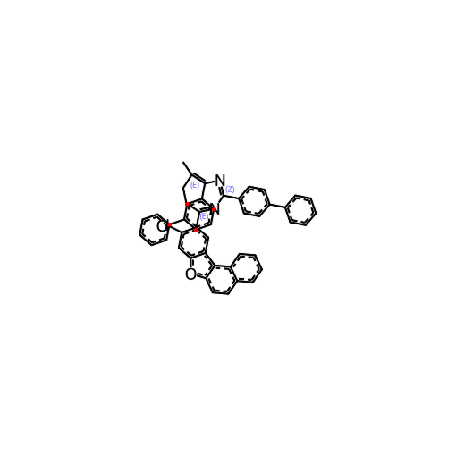 C\C1=C(c2cccc(-c3ccccc3)c2)/N=C(c2ccc(-c3ccccc3)cc2)\N=C(\c2cc3c(cc2Cl)oc2ccc4ccccc4c23)CC1